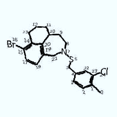 Cc1ccc(CSN2CCC3CCCc4c(Br)ccc(c43)C2)cc1Cl